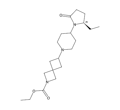 CCOC(=O)N1CC2(CC(N3CCC(N4C(=O)CC[C@H]4CC)CC3)C2)C1